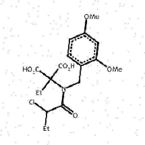 CCC(Cl)C(=O)N(Cc1ccc(OC)cc1OC)C(CC)(C(=O)O)C(=O)O